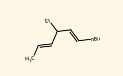 CC=CC(C=CCCCC)CC